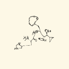 N[C@@H](Cc1c[nH]cn1)C(=O)N[C@@H](Cc1ccccc1)[C@@H](O)[C@@H](O)C1CC1